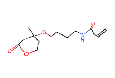 C=CC(=O)NCCCCOC1(C)CCOC(=O)C1